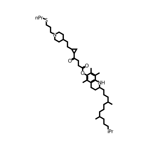 CCCSCCCN1CCC(CCC2CC2C(=O)CCC(=O)Oc2c(C)c(C)c3c(c2C)CCC(CCCC(C)CCCC(C)CCCC(C)C)N3)CC1